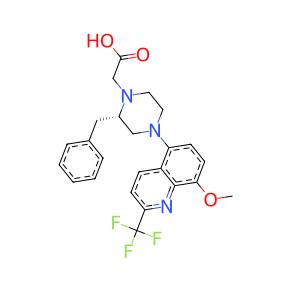 COc1ccc(N2CCN(CC(=O)O)[C@@H](Cc3ccccc3)C2)c2ccc(C(F)(F)F)nc12